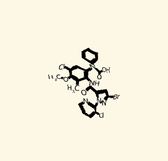 COc1c(Cl)cc(N(C(=O)O)c2ccccc2)c(NC(=O)c2cc(Br)nn2-c2ncccc2Cl)c1C